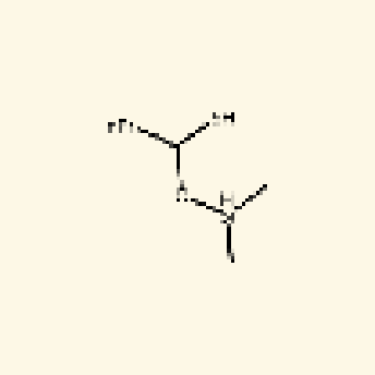 CCCC(S)O[SiH](C)C